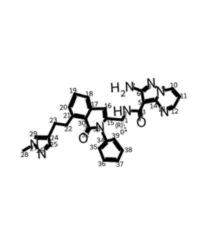 C[C@@H](NC(=O)c1c(N)nn2cccnc12)c1cc2cccc(CCc3cnn(C)c3)c2c(=O)n1-c1ccccc1